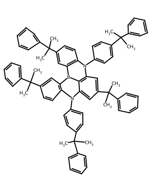 CC(C)(c1ccccc1)c1ccc(N2c3ccc(C(C)(C)c4ccccc4)cc3B3c4cc(C(C)(C)c5ccccc5)ccc4N(c4ccc(C(C)(C)c5ccccc5)cc4)c4cc(C(C)(C)c5ccccc5)cc2c43)cc1